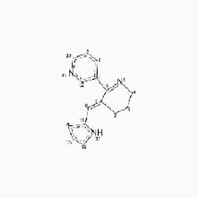 C(=C1CCCN=C1c1cccnc1)c1ccc[nH]1